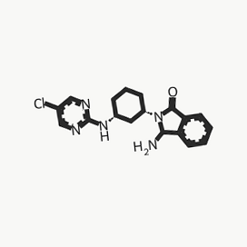 NC1c2ccccc2C(=O)N1[C@H]1CCC[C@@H](Nc2ncc(Cl)cn2)C1